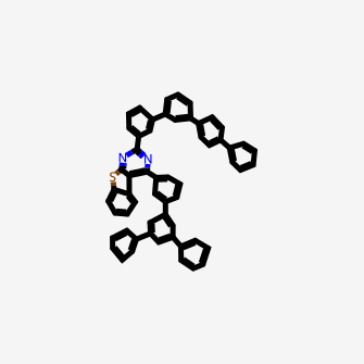 c1ccc(-c2ccc(-c3cccc(-c4cccc(-c5nc(-c6cccc(-c7cc(-c8ccccc8)cc(-c8ccccc8)c7)c6)c6c(n5)sc5ccccc56)c4)c3)cc2)cc1